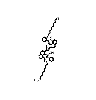 C=CCCCCCCCCOc1ccccc1B1N=c2/c(=C3\C(=O)C(c4ccc5cccc6c5c4NB(c4ccccc4OCCCCCCCCC=C)N6)=C3O)ccc3cccc(c23)N1